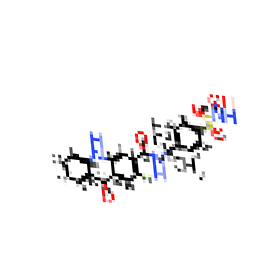 CC(C)(NC(=O)c1cc2[nH]c3ccccc3c(=O)c2cc1F)c1ccc(S(=O)(=O)NO)cc1